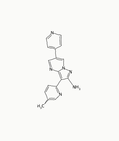 Cc1ccc(-c2c(N)nn3cc(-c4ccncc4)cnc23)nc1